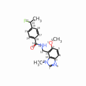 COc1ccc2ncn(C)c2c1CNC(=O)c1ccc(C(C)F)cc1